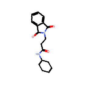 O=C(CCN1C(=O)c2ccccc2C1=O)NC1CCCCC1